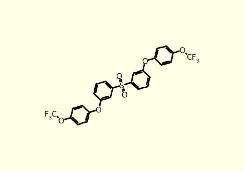 O=S(=O)(c1cccc(Oc2ccc(OC(F)(F)F)cc2)c1)c1cccc(Oc2ccc(OC(F)(F)F)cc2)c1